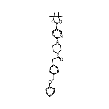 CC1(C)OB(c2ccc(N3CCN(C(=O)Cc4ccc(COc5ccccc5)cc4)CC3)nc2)OC1(C)C